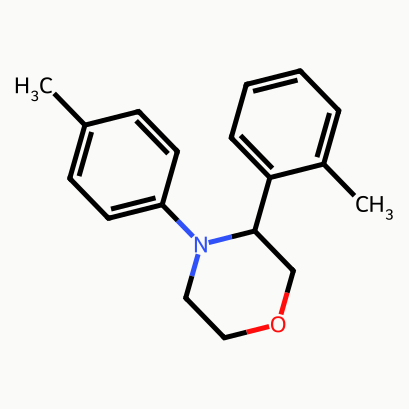 Cc1ccc(N2CCOCC2c2ccccc2C)cc1